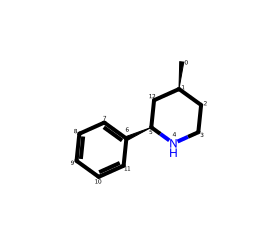 C[C@H]1CCN[C@@H](c2ccccc2)C1